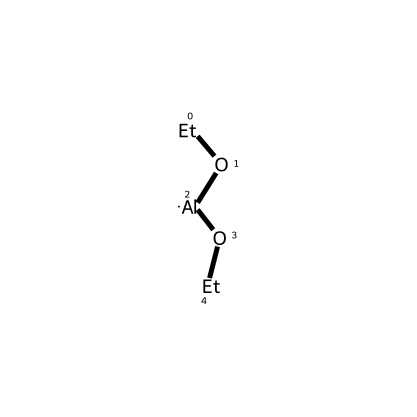 CC[O][Al][O]CC